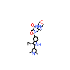 Cc1cc(-c2[nH]c3ccc(C4OC=C(C(N)=O)N4CC(C)(C)N4CCOCC4)cc3c2C(C)C)cc(C)n1